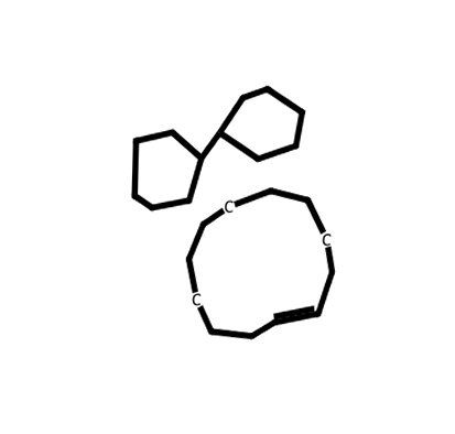 C1=C/CCCCCCCCCC/1.C1CCC(C2CCCCC2)CC1